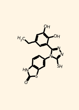 CCc1cc(O)c(O)c(-c2nnc(S)n2-c2ccc3[nH]c(=O)sc3c2)c1